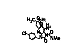 CCS(=O)(=O)C(C)Cc1nc(N)c2c(n1)n(Cc1ccc(Cl)cc1)c(=O)n2C(=O)NC